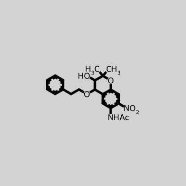 CC(=O)Nc1cc2c(cc1[N+](=O)[O-])OC(C)(C)C(O)C2OCCc1ccccc1